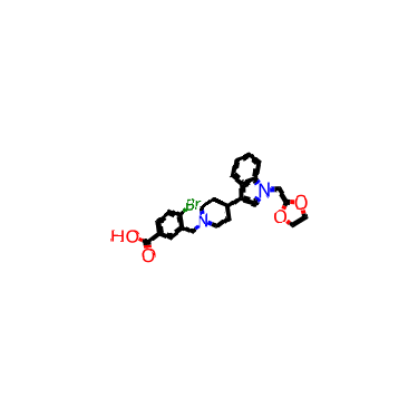 O=C(O)c1ccc(Br)c(CN2CCC(c3cn(CC4OCCO4)c4ccccc34)CC2)c1